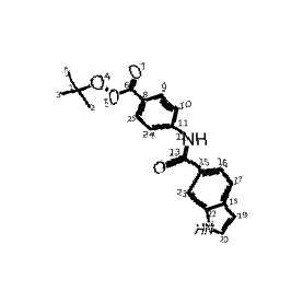 CC(C)(C)OOC(=O)c1ccc(NC(=O)c2ccc3cc[nH]c3c2)cc1